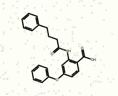 O=C(CCCc1ccccc1)Nc1cc(Oc2ccccc2)ccc1C(=O)O